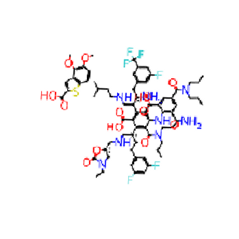 CCCN(CCC)C(=O)c1cc(C(N)=O)c(Nc2c(C)c(C(CNCCC(C)C)[C@@H](N)Cc3cc(F)cc(C(F)(F)F)c3)c(C(=O)O)c([C@@H](CCc3cc(F)cc(F)c3)CNC[C@H]3CN(CC)C(=O)O3)c2C(=O)N(CCC)CCC)c(C(=O)O)c1.COc1ccc2sc(C(=O)O)cc2c1OC